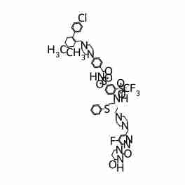 CC1(C)CCC(c2ccc(Cl)cc2)=C(CN2CCN(c3ccc(C(=O)NS(=O)(=O)c4ccc(N[C@H](CCN5CCN(Cc6cc(F)c(N7CCC(=O)NC7=O)nn6)CC5)CSc5ccccc5)c(S(=O)(=O)C(F)(F)F)c4)cc3)CC2)C1